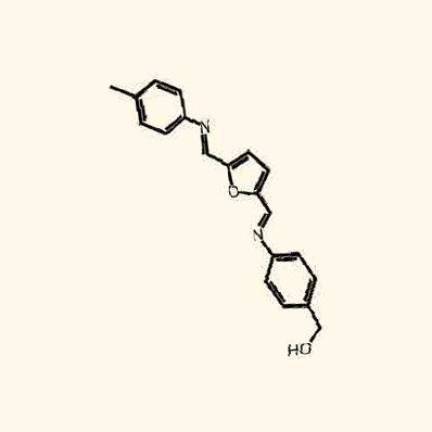 Cc1ccc(N=Cc2ccc(C=Nc3ccc(CO)cc3)o2)cc1